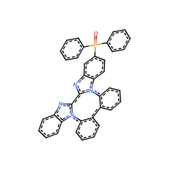 O=P(c1ccccc1)(c1ccccc1)c1ccc2c(c1)nc1c3nc4ccccc4n3c3ccccc3c3ccccc3n21